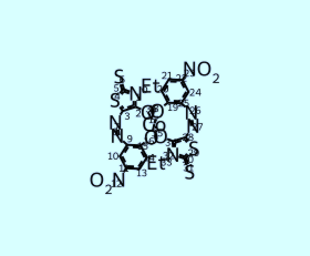 CCn1c2c(sc1=S)N=Nc1cc([N+](=O)[O-])ccc1[O][Co]1([O]c3ccc([N+](=O)[O-])cc3N=Nc3sc(=S)n(CC)c3[O]1)[O]2